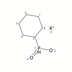 O=[PH]([O-])C1CCCCC1.[K+]